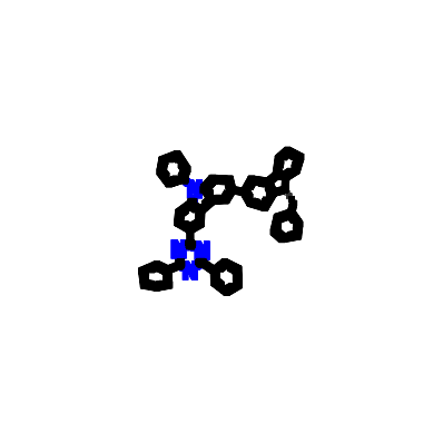 c1ccc(C[C@H]2c3ccccc3-c3cc(-c4ccc5c(c4)c4cc(-c6nc(-c7ccccc7)nc(-c7ccccc7)n6)ccc4n5-c4ccccc4)ccc32)cc1